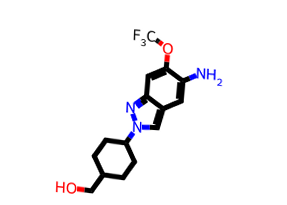 Nc1cc2cn(C3CCC(CO)CC3)nc2cc1OC(F)(F)F